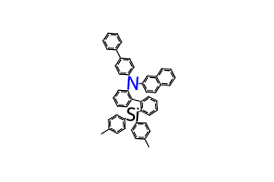 Cc1ccc([Si]2(c3ccc(C)cc3)c3ccccc3-c3c(N(c4ccc(-c5ccccc5)cc4)c4ccc5ccccc5c4)cccc32)cc1